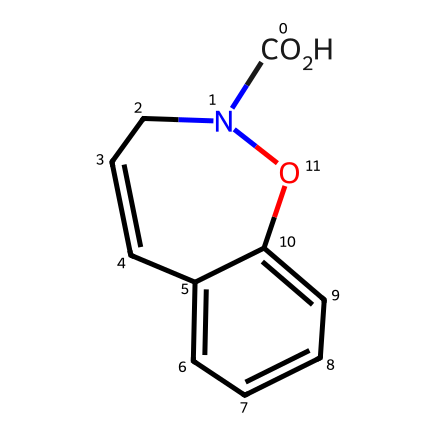 O=C(O)N1CC=Cc2ccccc2O1